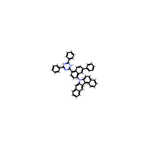 c1ccc(-c2ccc3c(-c4nc(-c5ccccc5)nc(-c5ccccc5)n4)ccc(-n4c5cc6ccccc6cc5c5c6ccccc6ccc54)c3c2)cc1